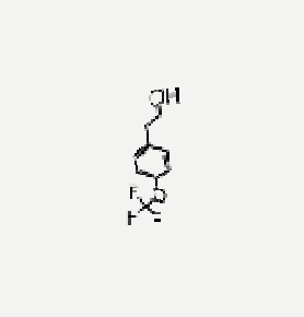 OCCc1ccc(OC(F)(F)F)cc1